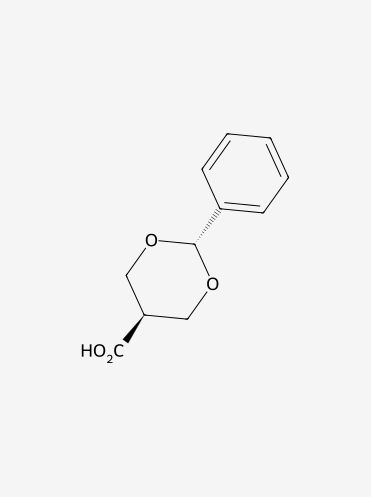 O=C(O)[C@H]1CO[C@H](c2ccccc2)OC1